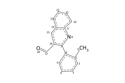 Cc1ccccc1-c1nc2ccccc2cc1C=O